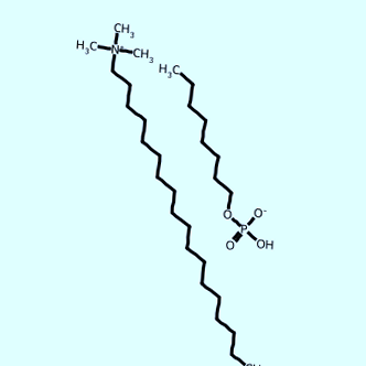 CCCCCCCCCCCCCCCCCC[N+](C)(C)C.CCCCCCCCOP(=O)([O-])O